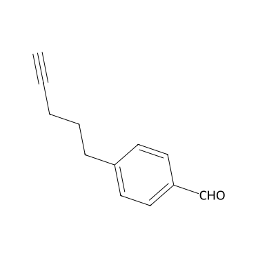 C#CCCCc1ccc(C=O)cc1